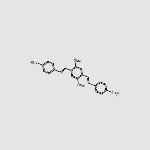 COc1cc(C=Cc2ccc(C(=O)O)cc2)c(OC)cc1C=Cc1ccc(C(=O)O)cc1